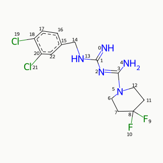 N=C(N=C(N)N1CCC(F)(F)CC1)NCc1ccc(Cl)c(Cl)c1